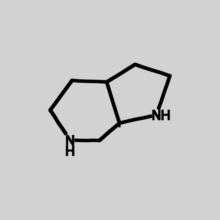 C1CC2CCN[C]2CN1